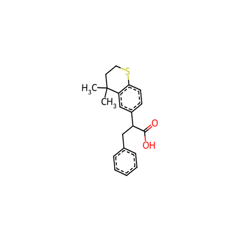 CC1(C)CCSc2ccc(C(Cc3ccccc3)C(=O)O)cc21